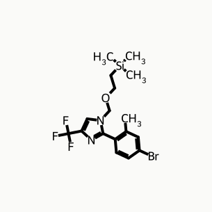 Cc1cc(Br)ccc1-c1nc(C(F)(F)F)cn1COCC[Si](C)(C)C